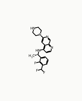 C[C@@H](Nc1ccnc2cnc(N3CCNCC3)cc12)c1cccc(C(F)F)c1F